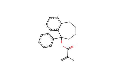 C=C(C)C(=O)OC1(c2ccccc2)CCCCc2ccccc21